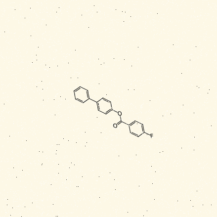 O=C(Oc1ccc(-c2ccccc2)cc1)c1ccc(F)cc1